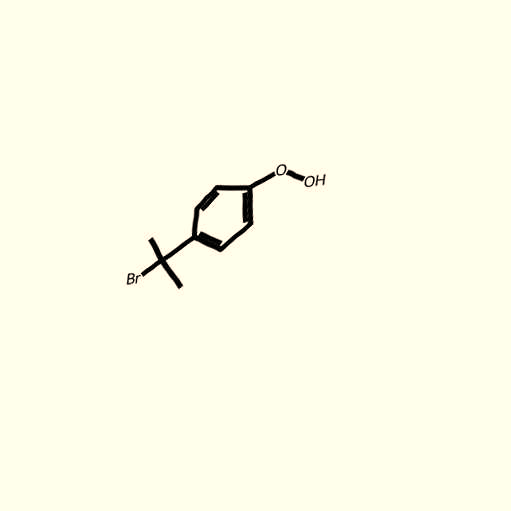 CC(C)(Br)c1ccc(OO)cc1